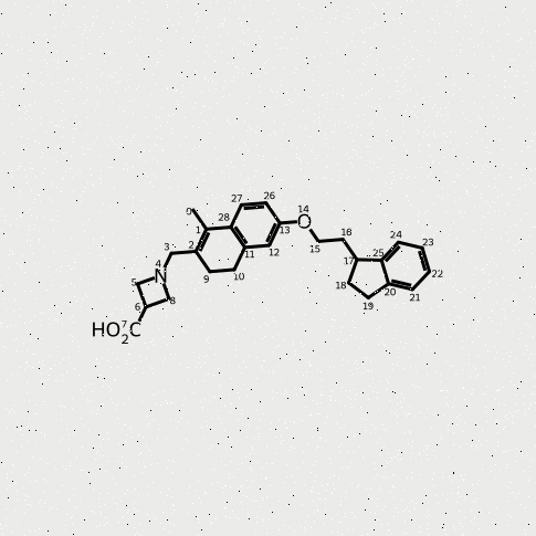 CC1=C(CN2CC(C(=O)O)C2)CCc2cc(OCCC3CCc4ccccc43)ccc21